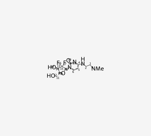 CNCCNc1ccn([C@@H]2O[C@H](CO)[C@@H](O)C2(F)F)c(=O)n1